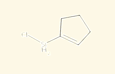 Cl[SiH2]C1=CCCC1